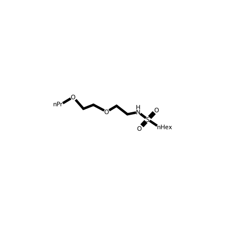 CCCCCCS(=O)(=O)NCCOCCOCCC